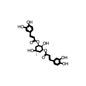 C[C@]1(O)C[C@@H](OC(=O)/C=C/c2ccc(O)c(O)c2)[C@@H](O)[C@H](OC(=O)/C=C/c2ccc(O)c(O)c2)C1